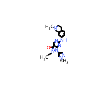 C=CCn1c(=O)c2cnc(Nc3ccc4c(c3)CN(C)CC4)nc2n1-c1cnn(C)c1